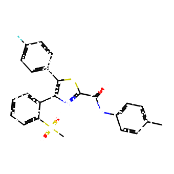 Cc1ccc(NC(=O)c2nc(-c3ccccc3S(C)(=O)=O)c(-c3ccc(F)cc3)s2)cc1